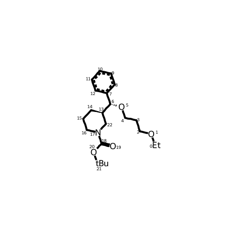 CCOCCCO[C@@H](c1ccccc1)[C@@H]1CCCN(C(=O)OC(C)(C)C)C1